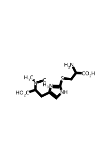 CN(C)C(Cc1c[nH]c(SCC(N)C(=O)O)n1)C(=O)O